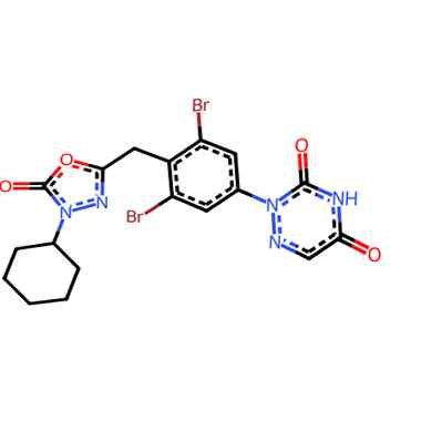 O=c1cnn(-c2cc(Br)c(Cc3nn(C4CCCCC4)c(=O)o3)c(Br)c2)c(=O)[nH]1